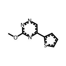 COc1nncc(-c2cccs2)n1